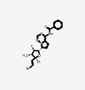 CC[C@@]1(/C=C/Br)O[C@@H](c2ccc3c(NC(=O)c4ccccc4)ncnn23)[C@H](F)[C@@H]1C